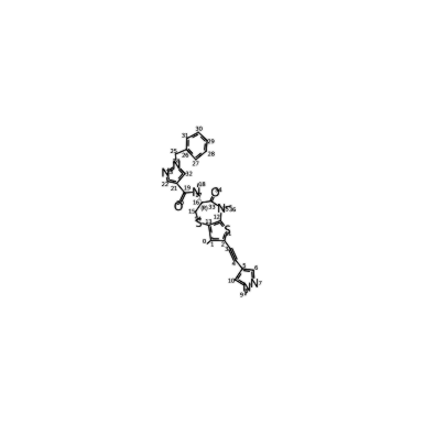 Cc1c(C#Cc2cnn(C)c2)sc2c1SC[C@H](N(C)C(=O)c1cnn(Cc3ccccc3)c1)C(=O)N2C